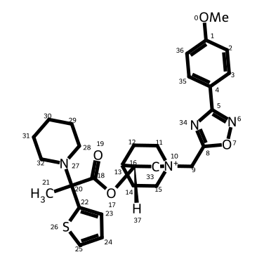 COc1ccc(-c2noc(C[N+]34CCC(CC3)[C@@H](OC(=O)C(C)(c3cccs3)N3CCCCC3)C4)n2)cc1